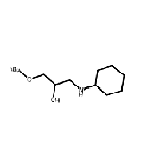 CCCCOCC(O)CNC1CCCCC1